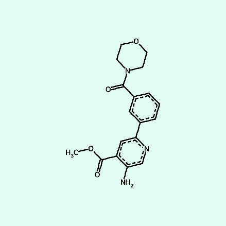 COC(=O)c1cc(-c2cccc(C(=O)N3CCOCC3)c2)ncc1N